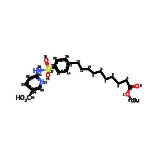 CC(C)(C)OC(=O)CCCCCCCCCc1ccc(S(=O)(=O)Nc2ccc(C(=O)O)cn2)cc1